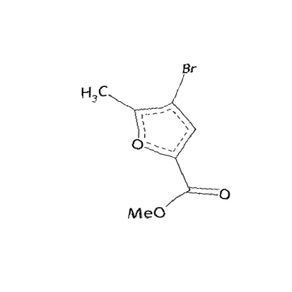 COC(=O)c1cc(Br)c(C)o1